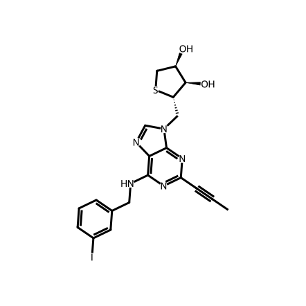 CC#Cc1nc(NCc2cccc(I)c2)c2ncn(C[C@@H]3SC[C@@H](O)[C@H]3O)c2n1